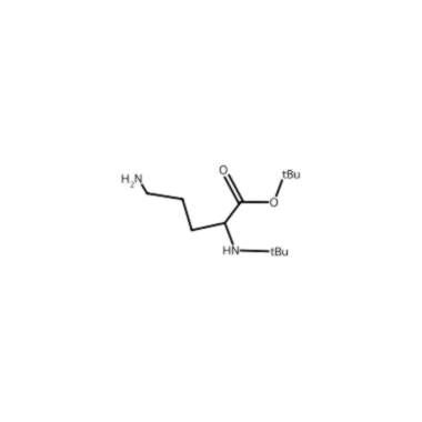 CC(C)(C)NC(CCCN)C(=O)OC(C)(C)C